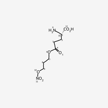 N[C@@H](CCC(=O)OCCCO[N+](=O)[O-])C(=O)O